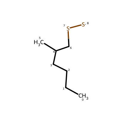 CCCCC(C)CS[S]